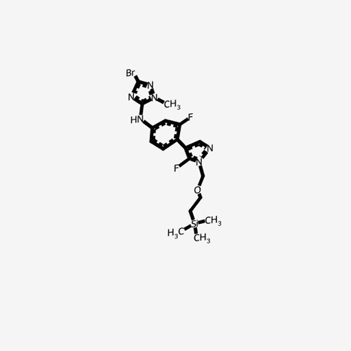 Cn1nc(Br)nc1Nc1ccc(-c2cnn(COCC[Si](C)(C)C)c2F)c(F)c1